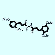 COc1ccc(OC)c(/C=C/C(=O)NNC(=O)/C=C/c2cc(OC)ccc2OC)c1